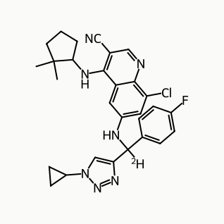 [2H]C(Nc1cc(Cl)c2ncc(C#N)c(NC3CCCC3(C)C)c2c1)(c1ccc(F)cc1)c1cn(C2CC2)nn1